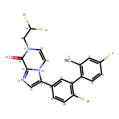 N#Cc1cc(F)ccc1-c1cc(-c2cnc3c(=O)n(CC(F)F)ccn23)ccc1F